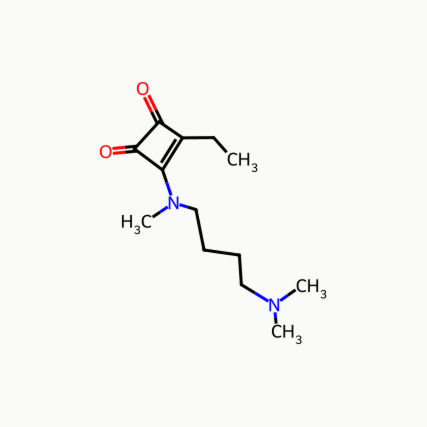 CCc1c(N(C)CCCCN(C)C)c(=O)c1=O